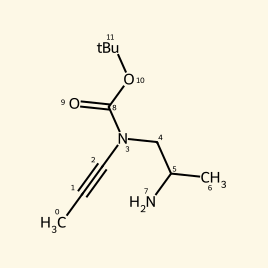 CC#CN(CC(C)N)C(=O)OC(C)(C)C